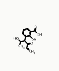 C=CC(=O)C(c1cccc(C(=O)O)c1S)C(C)O